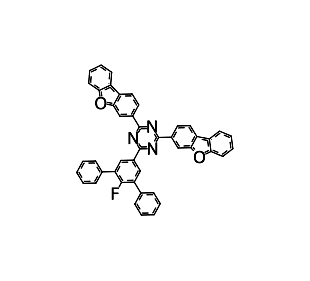 Fc1c(-c2ccccc2)cc(-c2nc(-c3ccc4c(c3)oc3ccccc34)nc(-c3ccc4c(c3)oc3ccccc34)n2)cc1-c1ccccc1